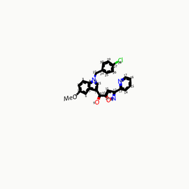 COc1ccc2c(c1)c(C(=O)c1cc(-c3ccccn3)no1)cn2Cc1ccc(Cl)cc1